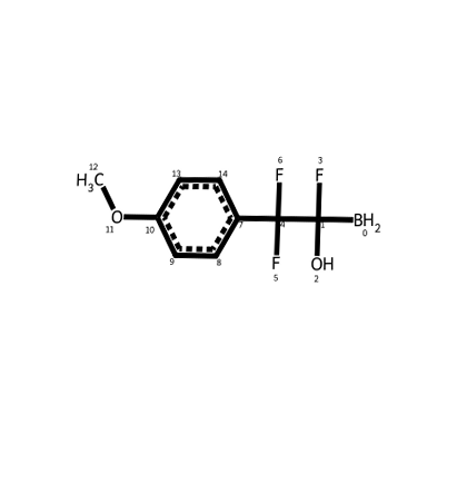 BC(O)(F)C(F)(F)c1ccc(OC)cc1